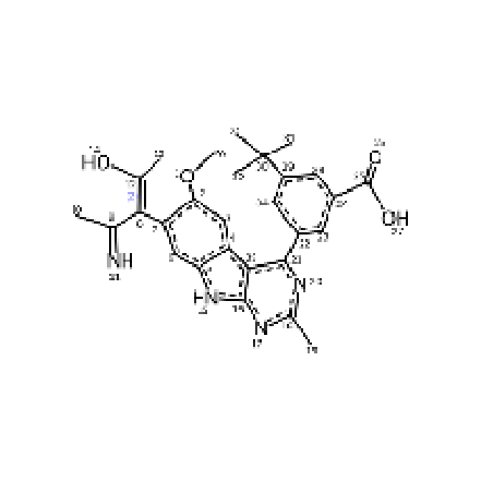 COc1cc2c(cc1/C(C(C)=N)=C(\C)O)[nH]c1nc(C)nc(-c3cc(C(=O)O)cc(C(C)(C)C)c3)c12